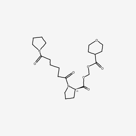 O=C(OCOC(=O)[C@H]1CCCN1C(=O)CCCCC(=O)N1CCCC1)C1CCOCC1